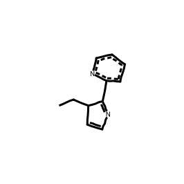 CCC1C=CN=C1c1ccccn1